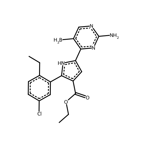 Bc1cnc(N)nc1-c1cc(C(=O)OCC)c(-c2cc(Cl)ccc2CC)[nH]1